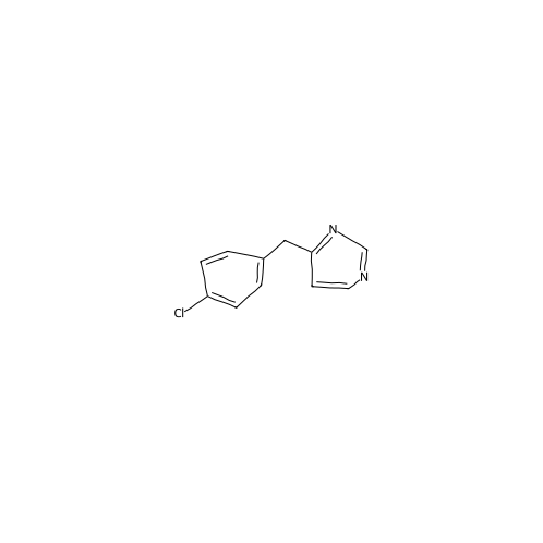 Clc1ccc(Cc2ccncn2)cc1